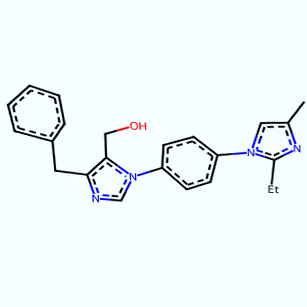 CCc1nc(C)cn1-c1ccc(-n2cnc(Cc3ccccc3)c2CO)cc1